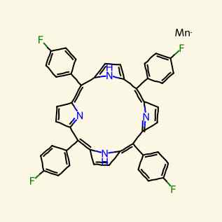 Fc1ccc(-c2c3nc(c(-c4ccc(F)cc4)c4ccc([nH]4)c(-c4ccc(F)cc4)c4nc(c(-c5ccc(F)cc5)c5ccc2[nH]5)C=C4)C=C3)cc1.[Mn]